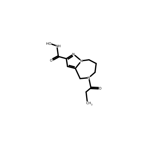 CCC(=O)N1CCCn2nc(C(=O)NO)cc2C1